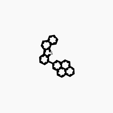 c1ccc2c(c1)ccc1c3cccc(-c4cc5ccc6cccc7ccc(c4)c5c67)c3sc21